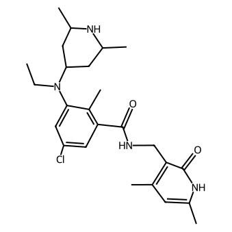 CCN(c1cc(Cl)cc(C(=O)NCc2c(C)cc(C)[nH]c2=O)c1C)C1CC(C)NC(C)C1